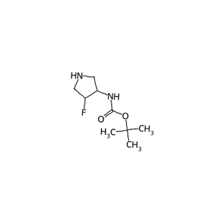 CC(C)(C)OC(=O)NC1CNCC1F